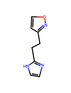 [CH](Cc1ccon1)c1ncc[nH]1